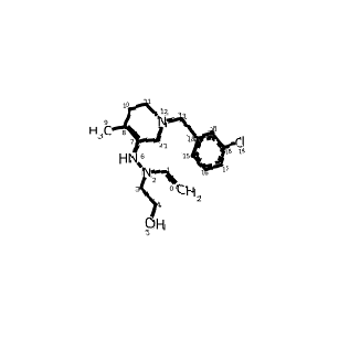 C=CN(CCO)NC1=C(C)CCN(Cc2cccc(Cl)c2)C1